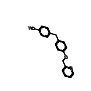 Oc1ccc(Cc2ccc(OCc3ccccn3)cc2)cc1